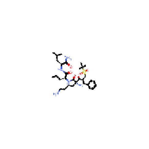 CCC[C@H](NC(=O)[C@@](N)(CCCCN)C(=O)C(Cc1ccccc1)CS(=O)(=O)C(C)(C)C)C(=O)N[C@@H](CC(C)C)C(N)=O